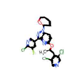 C[C@@H](Oc1ccc2c(n1)c(-c1cnc(Cl)c(F)c1)nn2C1CCCCO1)c1c(Cl)cncc1Cl